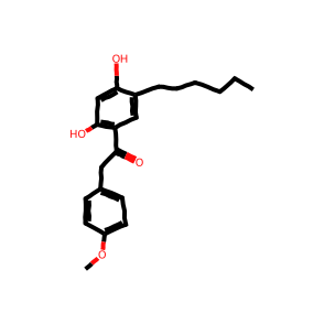 CCCCCCc1cc(C(=O)Cc2ccc(OC)cc2)c(O)cc1O